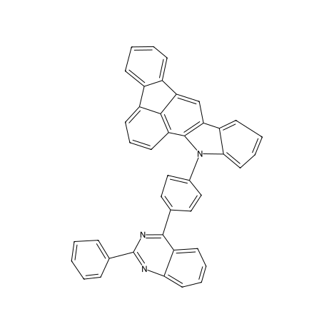 c1ccc(-c2nc(-c3ccc(-n4c5ccccc5c5cc6c7c(cccc7c54)-c4ccccc4-6)cc3)c3ccccc3n2)cc1